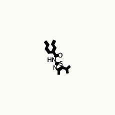 C=C/C=C\C(=C/C=C)C(=O)Nc1nc(C)c(C(C)C)s1